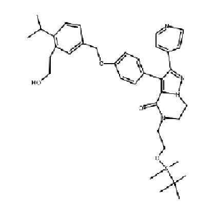 CC(C)c1ccc(COc2ccc(-c3c(-c4ccncc4)nn4c3C(=O)N(CCO[Si](C)(C)C(C)(C)C)CC4)cc2)cc1CCO